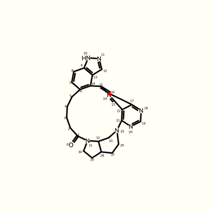 O=C1CCCCc2ccc3[nH]ncc3c2-c2cc3ncnc(c3cn2)N2CCC3CCN1C3C2